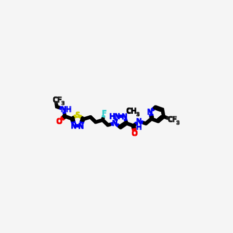 CN1NN(CC(F)CCc2nnc(C(=O)NCC(F)(F)F)s2)C=C1C(=O)NCc1cc(C(F)(F)F)ccn1